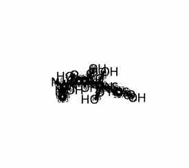 Cc1c(N=Nc2cc3c(O)c(N=Nc4cc(OCCO)c(N=Nc5nc6ccc(SOOO)cc6s5)cc4OCCO)c(SOOO)cc3cc2S(=O)(=O)O)c(O)n2c(nc3ccccc32)c1C#N